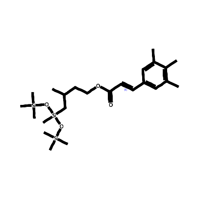 Cc1cc(/C=C/C(=O)OCCC(C)C[Si](C)(O[Si](C)(C)C)O[Si](C)(C)C)cc(C)c1C